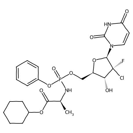 C[C@H](NP(=O)(OC[C@H]1O[C@@H](n2ccc(=O)[nH]c2=O)[C@@](F)(Cl)[C@@H]1O)Oc1ccccc1)C(=O)OC1CCCCC1